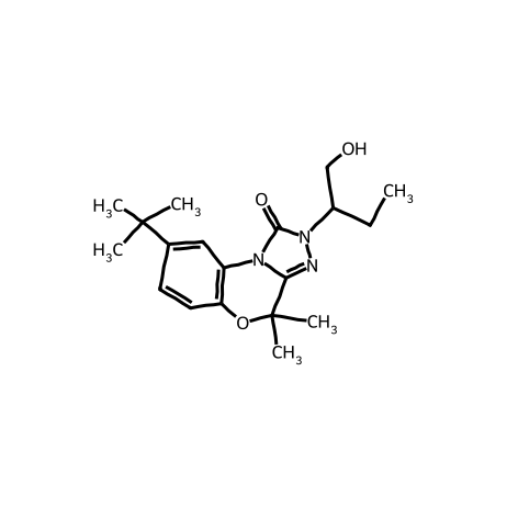 CCC(CO)n1nc2n(c1=O)-c1cc(C(C)(C)C)ccc1OC2(C)C